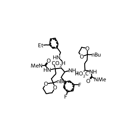 CCCCC1(CC[C@@H](NC(=O)NC)C(=O)O)OCCO1.CCCCC1(CC[C@@](NC(=O)NC)(C(=O)O)[C@H](CNCc2cccc(CC)c2)C(N)Cc2cc(F)cc(F)c2)OCCCO1